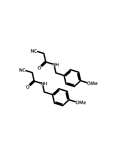 COc1ccc(CNC(=O)CC#N)cc1.COc1ccc(CNC(=O)CC#N)cc1